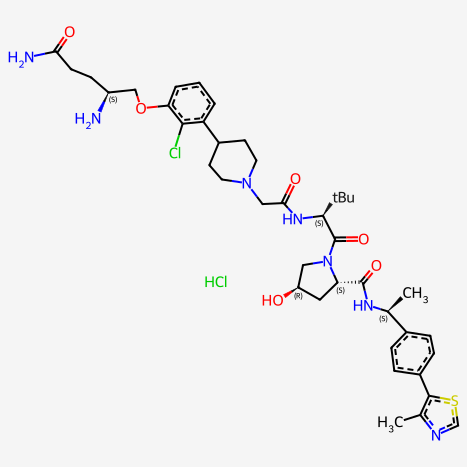 Cc1ncsc1-c1ccc([C@H](C)NC(=O)[C@@H]2C[C@@H](O)CN2C(=O)[C@@H](NC(=O)CN2CCC(c3cccc(OC[C@@H](N)CCC(N)=O)c3Cl)CC2)C(C)(C)C)cc1.Cl